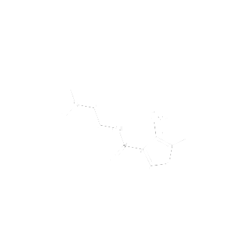 CCN(CC)CCNC(=O)c1csc(Cl)c1OC